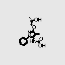 Cc1c(OC[C@H](C)O)nn(-c2ccccc2)c1NC(=O)O